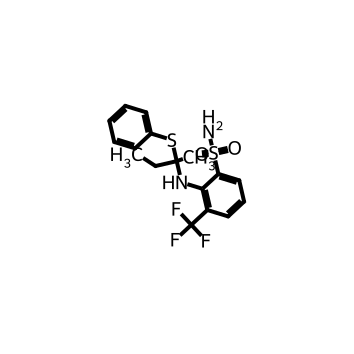 CCC(C)(Nc1c(C(F)(F)F)cccc1S(N)(=O)=O)Sc1ccccc1